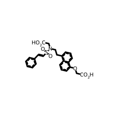 O=C(O)COc1cccc2c(CCN(CC(=O)O)S(=O)(=O)/C=C/c3ccccc3)cccc12